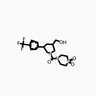 O=C(N1CCS(=O)(=O)CC1)N1CC(CO)CC(c2ccc(C(F)(F)F)cc2)C1